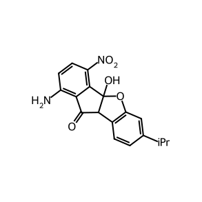 CC(C)c1ccc2c(c1)OC1(O)c3c([N+](=O)[O-])ccc(N)c3C(=O)C21